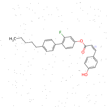 CCCCCc1ccc(-c2ccc(OC(=O)/C=C\c3ccc(O)cc3)cc2F)cc1